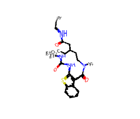 CCCN(CCC(CC(=O)NCC(C)C)CC(=O)OCC)C(=O)c1c(NC(=O)NCC)sc2ccccc12